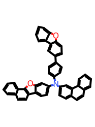 c1ccc2c(c1)ccc1ccc(N(c3ccc(-c4ccc5oc6ccccc6c5c4)cc3)c3ccc4c(c3)oc3c5ccccc5ccc43)cc12